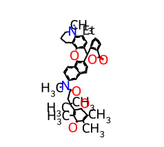 CCc1cc2c(c3c1N(C)CCC3)Oc1c(ccc3cc(N(C)C(=O)CC(C)(C)C4=C(C)C(=O)C(C)=C(C)C4=O)ccc13)C21OC(=O)c2ccccc21